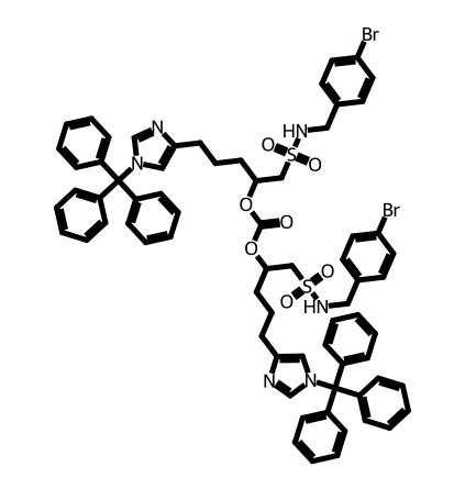 O=C(OC(CCCc1cn(C(c2ccccc2)(c2ccccc2)c2ccccc2)cn1)CS(=O)(=O)NCc1ccc(Br)cc1)OC(CCCc1cn(C(c2ccccc2)(c2ccccc2)c2ccccc2)cn1)CS(=O)(=O)NCc1ccc(Br)cc1